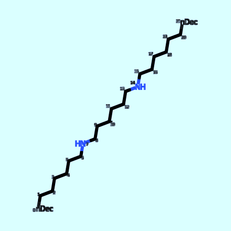 CCCCCCCCCCCCCCCCNCC[CH]CCCNCCCCCCCCCCCCCCCC